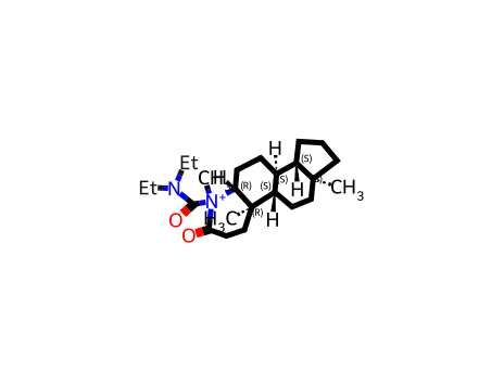 CCN(CC)C(=O)[N+]1(C)C(=O)CC[C@@]2(C)[C@H]1CC[C@H]1[C@@H]3CCC[C@@]3(C)CC[C@@H]12